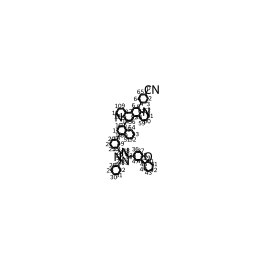 N#Cc1ccc(-c2cc3c4cccnc4c(-c4ccc(-c5cccc(-c6nc(-c7ccccc7)nc(-c7ccc8oc9ccccc9c8c7)n6)c5)c5ccccc45)cc3c3cccnc23)cc1